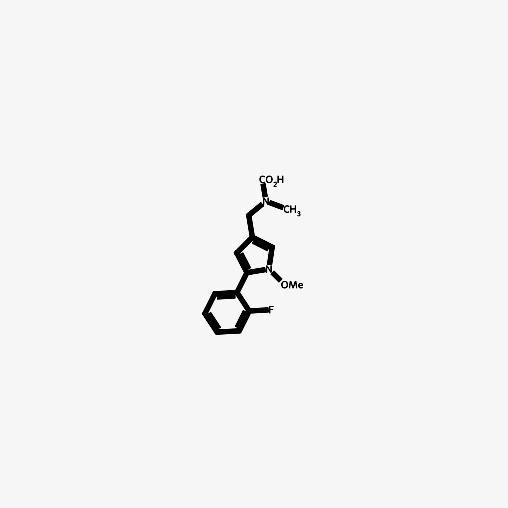 COn1cc(CN(C)C(=O)O)cc1-c1ccccc1F